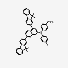 Cc1ccc(N(c2ccc(CO)cc2)c2cc(-c3ccc4c(c3)C(C)(C)c3ccccc3-4)c3ccc(-c4ccc5c(c4)C(C)(C)c4ccccc4-5)cc3c2)cc1